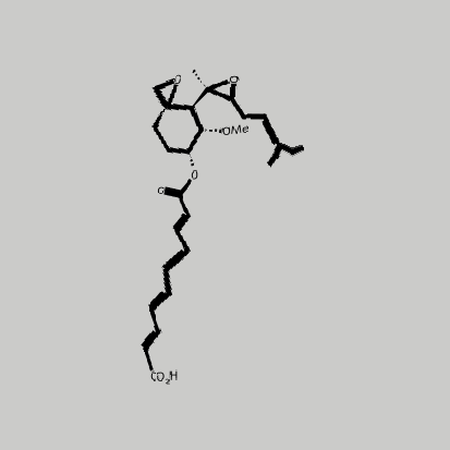 CO[C@@H]1[C@H](OC(=O)C=CC=CC=CC=CC(=O)O)CC[C@]2(CO2)[C@H]1[C@@]1(C)OC1CC=C(C)C